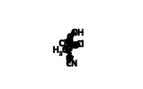 CC1CN(c2ccc(OCCO)cc2Cl)C(c2ccc(Cl)cc2)CN1CCc1ccc(C#N)cc1